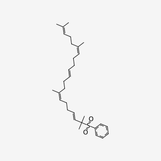 CC(C)=CCCC(C)=CCCC=CCCC(C)=CCCC=CC(C)(C)S(=O)(=O)c1ccccc1